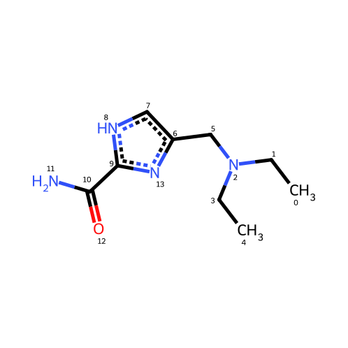 CCN(CC)Cc1c[nH]c(C(N)=O)n1